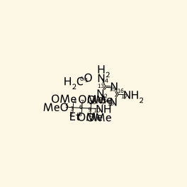 C=O.CCC(OC)(OC)C(OC)(OC)C(Nc1nc(N)nc(N)n1)(OC)OC